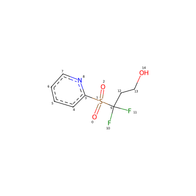 O=S(=O)(c1ccccn1)C(F)(F)CCO